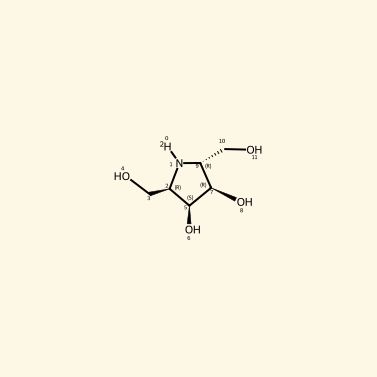 [2H]N1[C@H](CO)[C@H](O)[C@H](O)[C@H]1CO